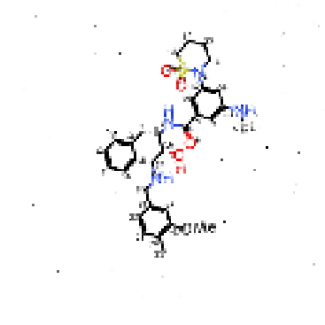 CCNc1cc(C(=O)N[C@@H](Cc2ccccc2)[C@H](O)CNCc2ccc(C)c(OC)c2)cc(N2CCCCS2(=O)=O)c1